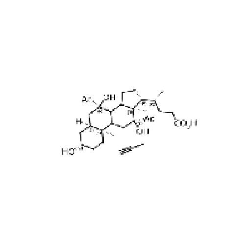 C#CC.CC(=O)[C@]1(O)CC2C(C3CC[C@H]([C@H](C)CCC(=O)O)[C@]31C)[C@@](O)(C(C)=O)C[C@@H]1C[C@@H](O)CC[C@]21C